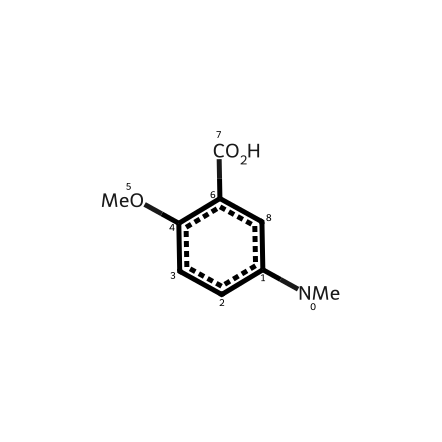 CNc1ccc(OC)c(C(=O)O)c1